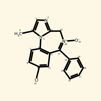 Cc1cnc2n1-c1ccc(Cl)cc1C(c1ccccc1)=[N+]([O-])C2